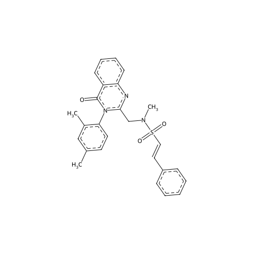 Cc1ccc(-n2c(CN(C)S(=O)(=O)C=Cc3ccccc3)nc3ccccc3c2=O)c(C)c1